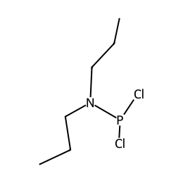 CCCN(CCC)P(Cl)Cl